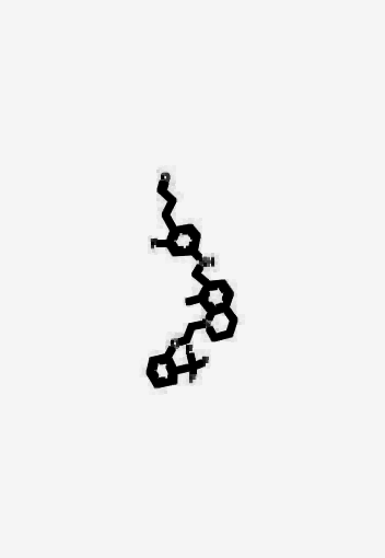 Cc1c(CNc2ccc(CCC=O)c(F)c2)ccc2c1N(CCOc1ccccc1C(F)(F)F)CCC2